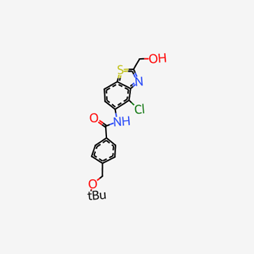 CC(C)(C)OCc1ccc(C(=O)Nc2ccc3sc(CO)nc3c2Cl)cc1